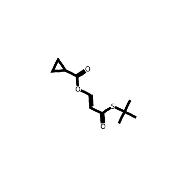 CC(C)(C)SC(=O)C=COC(=O)C1CC1